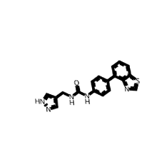 O=C(NCc1cn[nH]c1)Nc1ccc(-c2cccc3scnc23)cc1